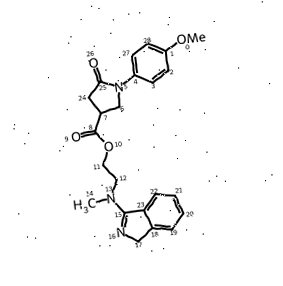 COc1ccc(N2CC(C(=O)OCCN(C)C3=NCc4ccccc43)CC2=O)cc1